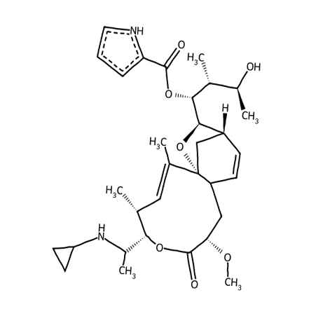 CO[C@H]1CC2C=C[C@@H]3C[C@]2(O[C@H]3[C@H](OC(=O)c2ccc[nH]2)[C@H](C)[C@H](C)O)/C(C)=C/[C@@H](C)[C@@H](C(C)NC2CC2)OC1=O